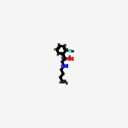 CCCCNC[C@H](O)c1ccccc1F